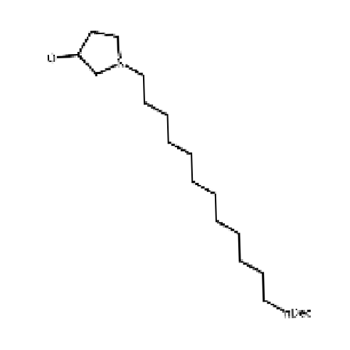 CCCCCCCCCCCCCCCCCCCCCCN1CCC(O)C1